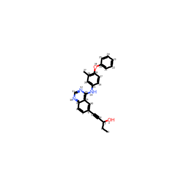 CCC(O)C#Cc1ccc2ncnc(Nc3ccc(Oc4ccccc4)c(C)c3)c2c1